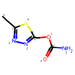 Cc1nnc(OC(N)=O)s1